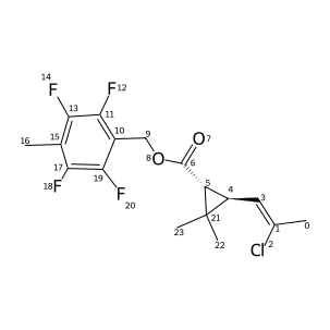 C/C(Cl)=C/[C@@H]1[C@@H](C(=O)OCc2c(F)c(F)c(C)c(F)c2F)C1(C)C